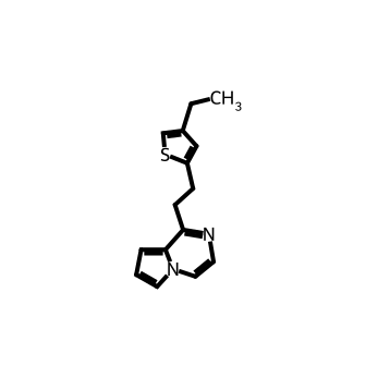 CCc1csc(CCc2nccn3cccc23)c1